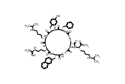 CC(=O)[C@H](CCCCNC(C)C)NC(=O)[C@H]1CCC(=O)N[C@@H](Cc2ccccc2)C(=O)N[C@@H](Cc2ccc(O)cc2)C(=O)N[C@@H](CCCCNC(C)C)C(=O)N[C@H](CCCNC(=N)N)C(=O)N[C@@H](Cc2ccc3ccccc3c2)C(=O)NCC(=O)N1